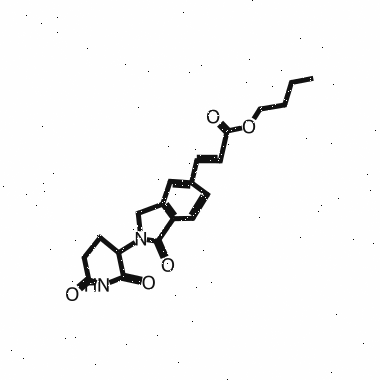 CCCCOC(=O)C=Cc1ccc2c(c1)CN(C1CCC(=O)NC1=O)C2=O